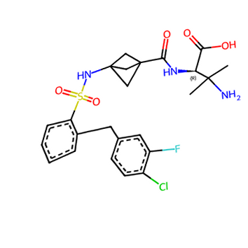 CC(C)(N)[C@@H](NC(=O)C12CC(NS(=O)(=O)c3ccccc3Cc3ccc(Cl)c(F)c3)(C1)C2)C(=O)O